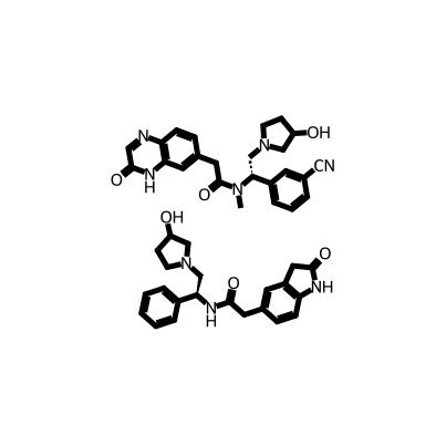 CN(C(=O)Cc1ccc2ncc(=O)[nH]c2c1)[C@H](CN1CCC(O)C1)c1cccc(C#N)c1.O=C1Cc2cc(CC(=O)N[C@H](CN3CCC(O)C3)c3ccccc3)ccc2N1